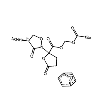 CC(=O)N[C@H]1CON(C2(C(=O)OCOC(=O)C(C)(C)C)CCC(=O)O2)C1=O.c1cc2ccc1o2